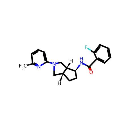 O=C(N[C@H]1CC[C@@H]2CN(c3cccc(C(F)(F)F)n3)C[C@@H]21)c1ccccc1F